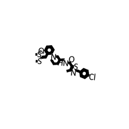 CSC(=Cc1ccccc1N1CCCC(CNC(=O)c2sc(-c3ccc(Cl)cc3)nc2C)C1)[S+](C)[O-]